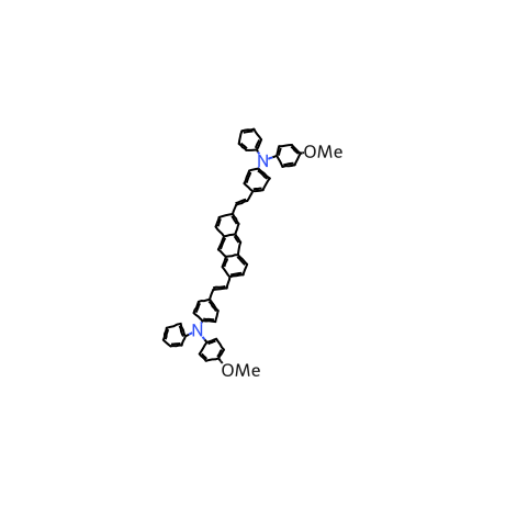 COc1ccc(N(c2ccccc2)c2ccc(C=Cc3ccc4cc5cc(C=Cc6ccc(N(c7ccccc7)c7ccc(OC)cc7)cc6)ccc5cc4c3)cc2)cc1